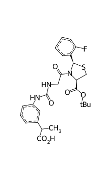 CC(C(=O)O)c1cccc(NC(=O)NCC(=O)N2[C@@H](c3ccccc3F)SC[C@H]2C(=O)OC(C)(C)C)c1